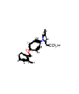 Cc1ccccc1COc1ccc(N2CC(C)CC2CC(=O)O)cc1